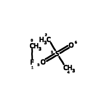 CF.CS(C)(=O)=O